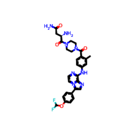 Cc1cc(Nc2nccn3c(-c4ccc(OC(F)F)cc4)cnc23)ccc1C(=O)N1CCN(C(=O)[C@@H](N)CC(N)=O)CC1